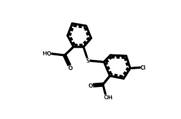 O=C(O)c1ccccc1Sc1ccc(Cl)cc1C(=O)O